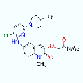 CCC1CCN(c2ccc(Cl)c(Nc3ccc4c(c3)cc(OCC(=O)NC)c(=O)n4C)n2)CC1